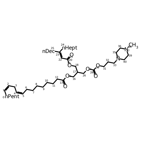 CCCCC/C=C\C/C=C\CCCCCCCC(=O)OCC(COC(=O)/C=C(\CCCCCCC)CCCCCCCCCC)COC(=O)OCCCN1CCN(C)CC1